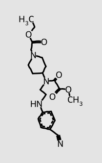 CCOC(=O)CN1CCC(N(CCNc2ccc(C#N)cc2)C(=O)C(=O)OC)CC1